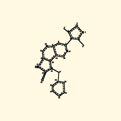 Cc1noc(C)c1-c1cc2ncc3[nH]c(=O)n(Cc4ccccc4)c3c2cn1